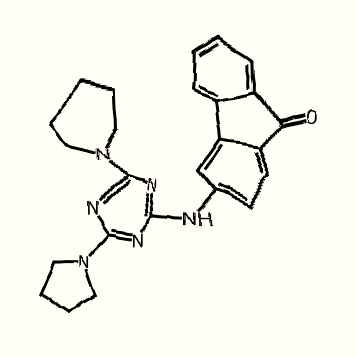 O=C1c2ccccc2-c2cc(Nc3nc(N4CCCCC4)nc(N4CCCC4)n3)ccc21